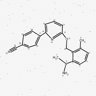 Cc1cccc(N(C)N)c1COc1cccc(-c2ccc(C#N)cc2)n1